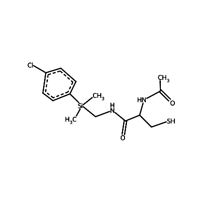 CC(=O)NC(CS)C(=O)NC[Si](C)(C)c1ccc(Cl)cc1